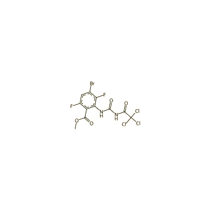 COC(=O)c1c(F)cc(Br)c(F)c1NC(=O)NC(=O)C(Cl)(Cl)Cl